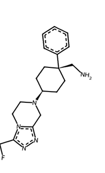 NC[C@]1(c2ccccc2)CC[C@H](N2CCn3c(nnc3C(F)(F)F)C2)CC1